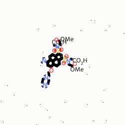 COC(=O)CN(CC(=O)O)S(=O)(=O)c1cc(S(=O)(=O)N(CC(=O)O)CC(=O)OC)c2ccc3c(N(C)C)cc(OCC[N+]4(C)CC[N+](C)(C)CC4)c4ccc1c2c43